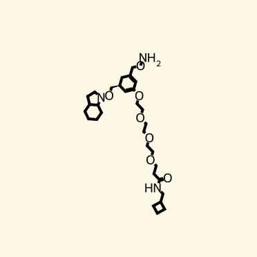 NOCC1=CC(OCCOCCOCCOCCC(=O)NCC2CCC2)=C[C@@H](CON2CCC3CCCCC32)C1